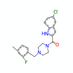 Cc1ccc(CN2CCN(C(=O)c3cc4cc(Cl)ccc4[nH]3)CC2)c(F)c1